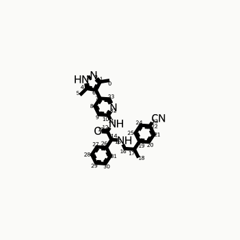 Cc1n[nH]c(C)c1-c1ccc(NC(=O)C(NCC(C)c2ccc(C#N)cc2)c2ccccc2)nc1